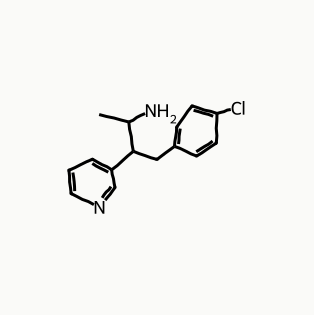 CC(N)C(Cc1ccc(Cl)cc1)c1cccnc1